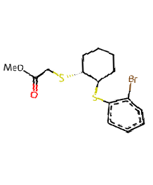 COC(=O)CS[C@@H]1CCCC[C@H]1Sc1ccccc1Br